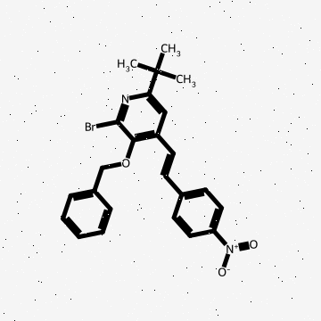 CC(C)(C)c1cc(/C=C/c2ccc([N+](=O)[O-])cc2)c(OCc2ccccc2)c(Br)n1